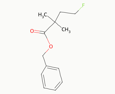 CC(C)(CCF)C(=O)OCc1ccccc1